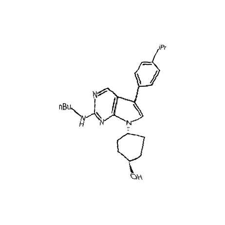 CCCCNc1ncc2c(-c3ccc(C(C)C)cc3)cn([C@H]3CC[C@H](O)CC3)c2n1